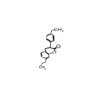 CCCc1ccc2c(c1)OC(=O)C(c1ccc(CC)cc1)C2